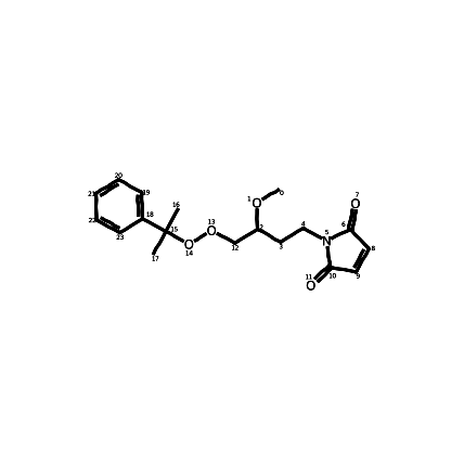 COC(CCN1C(=O)C=CC1=O)COOC(C)(C)c1ccccc1